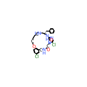 O=C1Cn2c(Cl)cnc(c2=O)N[C@@H](Cc2ccccc2)CNCCCCCOc2ccc(Cl)cc2CN1